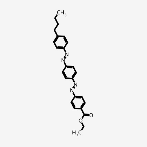 CCCCc1ccc(N=Nc2ccc(N=Nc3ccc(C(=O)OCC)cc3)cc2)cc1